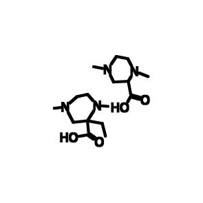 CCC1(C(=O)O)CN(C)CCN1C.CN1CCN(C)C(C(=O)O)C1